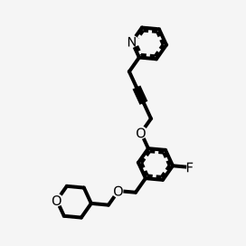 Fc1cc(COCC2CCOCC2)cc(OCC#CCc2ccccn2)c1